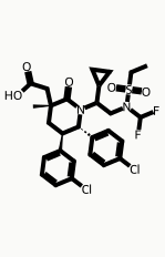 CCS(=O)(=O)N(CC(C1CC1)N1C(=O)[C@@](C)(CC(=O)O)C[C@H](c2cccc(Cl)c2)[C@H]1c1ccc(Cl)cc1)C(F)F